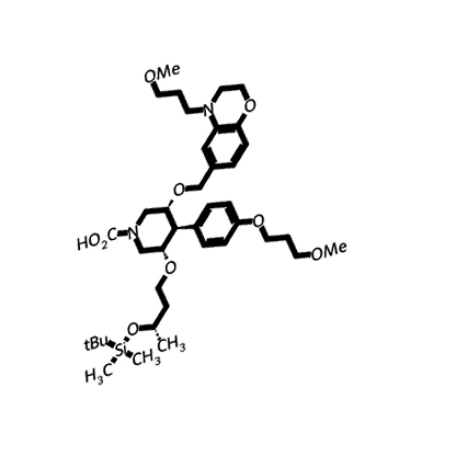 COCCCOc1ccc([C@@H]2[C@@H](OCc3ccc4c(c3)N(CCCOC)CCO4)CN(C(=O)O)C[C@H]2OCC[C@H](C)O[Si](C)(C)C(C)(C)C)cc1